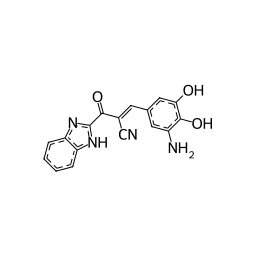 N#C/C(=C\c1cc(N)c(O)c(O)c1)C(=O)c1nc2ccccc2[nH]1